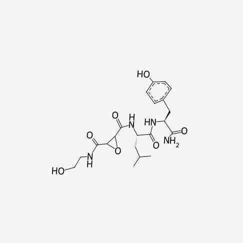 CC(C)C[C@H](NC(=O)C1OC1C(=O)NCCO)C(=O)N[C@@H](Cc1ccc(O)cc1)C(N)=O